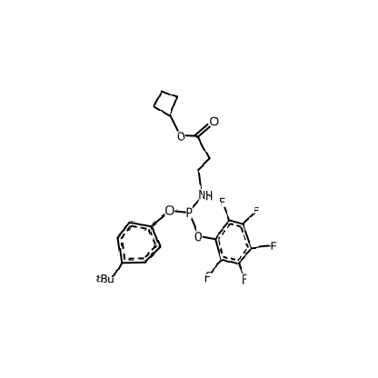 CC(C)(C)c1ccc(OP(NCCC(=O)OC2CCC2)Oc2c(F)c(F)c(F)c(F)c2F)cc1